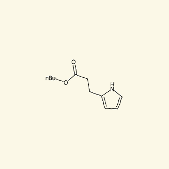 CCCCOC(=O)CCc1ccc[nH]1